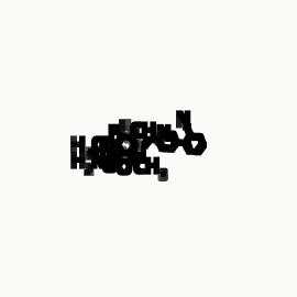 COC(C(N)=O)[C@@]12CC(F)(F)[C@@H](C)[C@H](C=Cc3ccc(-c4ccccc4C#N)cn3)[C@@H]1[C@@H](C)OC2=O